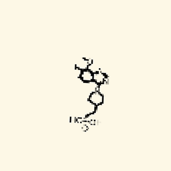 COc1c(I)ccc2c(N3CCC(CCP(=O)(O)O)CC3)ncnc12